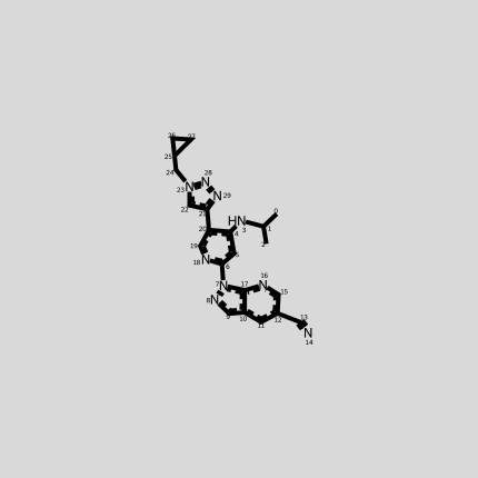 CC(C)Nc1cc(-n2ncc3cc(C#N)cnc32)ncc1-c1cn(CC2CC2)nn1